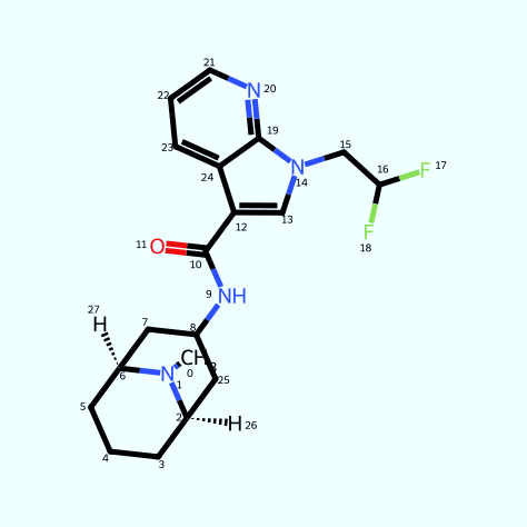 CN1[C@@H]2CCC[C@H]1CC(NC(=O)c1cn(CC(F)F)c3ncccc13)C2